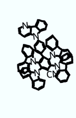 N#Cc1c(-n2c3ccccc3c3ccccc32)c(-n2c3ccccc3c3ccccc32)c(-c2ccc(-n3c4ccccc4c4ncccc43)cc2)c(-n2c3ccccc3c3ccccc32)c1-n1c2ccccc2c2ccccc21